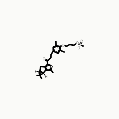 Cc1cc(CCC(=O)c2sc(C)c3c2C[C@@H]2[C@H]3C2(C)C)cc(C)c1OCCCOS(C)(=O)=O